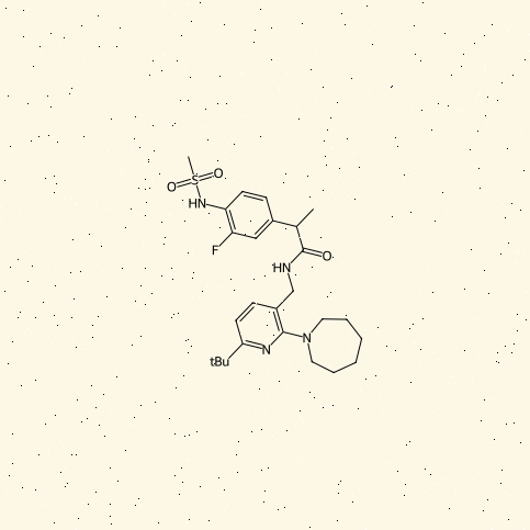 CC(C(=O)NCc1ccc(C(C)(C)C)nc1N1CCCCCC1)c1ccc(NS(C)(=O)=O)c(F)c1